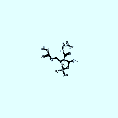 CC(O[Si](C)(C)C(C)(C)C)N(CCNC(=O)OC(C)(C)C)C(=O)OC(C)(C)C.CCCN